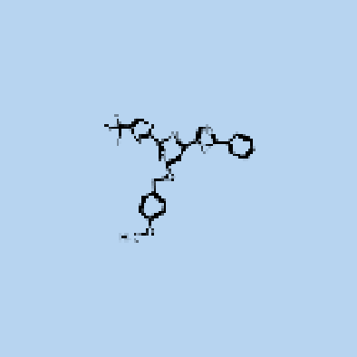 COc1ccc(COc2cc(-c3cnc(-c4ccccc4)o3)nc(-c3nc(C(F)(F)F)cs3)n2)cc1